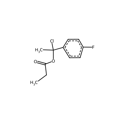 CCC(=O)OC(C)(Cl)c1ccc(F)cc1